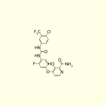 NC(=O)c1nccc(Oc2ccc(NC(=O)Nc3ccc(Cl)c(C(F)(F)F)c3)c(F)c2)c1O